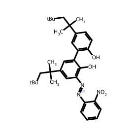 CC(C)(C)CC(C)(C)c1ccc(O)c(-c2cc(C(C)(C)CC(C)(C)C)cc(/N=N/c3ccccc3[N+](=O)[O-])c2O)c1